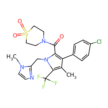 Cc1c(-c2ccc(Cl)cc2)c(C(=O)N2CCS(=O)(=O)CC2)n(Cc2nccn2C)c1C(F)(F)F